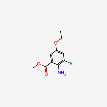 CCOc1cc(Br)c(N)c(C(=O)OC)c1